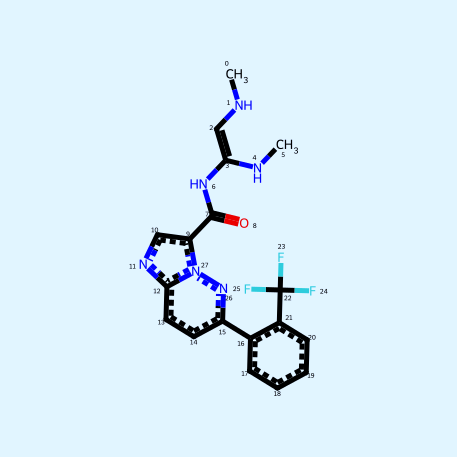 CN/C=C(\NC)NC(=O)c1cnc2ccc(-c3ccccc3C(F)(F)F)nn12